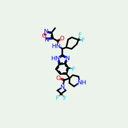 Cc1nonc1C(=O)NC(c1nc2c(F)c(C3(C(=O)N4CC(F)(F)C4)CCNCC3)ccc2[nH]1)C1CCC(F)(F)CC1